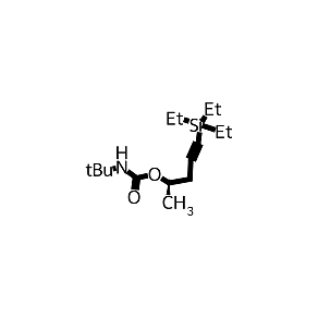 CC[Si](C#CC[C@@H](C)OC(=O)NC(C)(C)C)(CC)CC